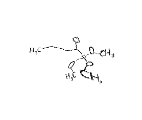 CCCC(Cl)[Si](OC)(OC)OC